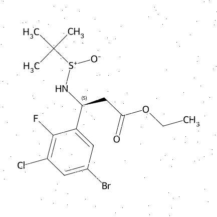 CCOC(=O)C[C@H](N[S+]([O-])C(C)(C)C)c1cc(Br)cc(Cl)c1F